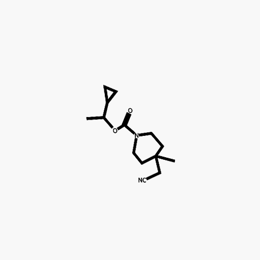 CC(OC(=O)N1CCC(C)(CC#N)CC1)C1CC1